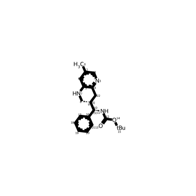 Cc1cnc2c(c1)NC[C@@H]([C@H](NC(=O)OC(C)(C)C)c1ccccc1)C2